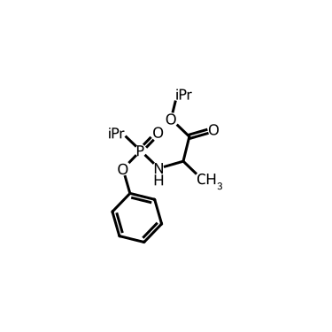 CC(C)OC(=O)C(C)NP(=O)(Oc1ccccc1)C(C)C